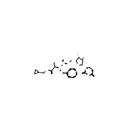 CC(C(=O)OCC1CC1)N(Oc1ccccc1)[PH](=O)OC[C@H]1O[C@@H](n2ccc(=O)[nH]c2=O)[C@](C)(F)[C@@H]1O